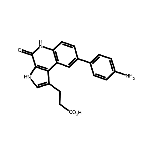 Nc1ccc(-c2ccc3[nH]c(=O)c4[nH]cc(CCC(=O)O)c4c3c2)cc1